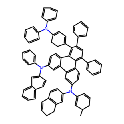 CC1C=C(N(c2ccc3c(c2)CCC=C3)c2ccc3c(c2)c2cc(N(c4ccccc4)c4ccc5ccccc5c4)ccc2c2c(C4=CC=C(N(c5ccccc5)c5ccccc5)CC4)c(-c4ccccc4)cc(-c4ccccc4)c32)C=CC1